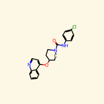 O=C(Nc1ccc(Cl)cc1)N1CCC(Oc2ccnc3ccccc23)CC1